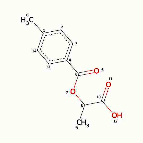 Cc1ccc(C(=O)OC(C)C(=O)O)cc1